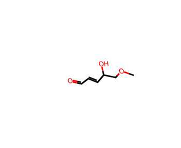 COCC(O)/C=C/C=O